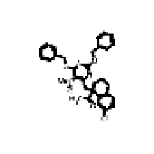 CC(=O)C1(Cc2nc(OCc3ccccc3)nc(OCc3ccccc3)c2[N+](=O)[O-])CCCc2ccc(Cl)cc21